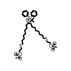 CC(C)(C)[Si](OC(CCCCCCCCSCCOS(C)(=O)=O)CCCCCCCCSCCOS(C)(=O)=O)(c1ccccc1)c1ccccc1